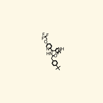 CC(C)(C)c1ccc(CC(=O)N[C@H](c2ccc(OCC(F)(F)F)cn2)c2c[nH]nn2)cc1